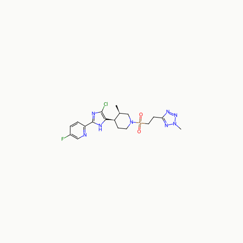 C[C@H]1CN(S(=O)(=O)CCc2nnn(C)n2)CC[C@H]1c1[nH]c(-c2ccc(F)cn2)nc1Cl